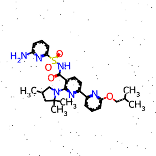 CC(C)COc1cccc(-c2ccc(C(=O)NS(=O)(=O)c3cccc(N)n3)c(N3CC(C)CC3(C)C)n2)n1